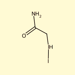 NC(=O)C[IH]I